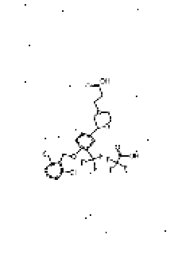 O=C(O)C(F)(F)F.O=C(O)CCN1CCOC(c2ccc(OCc3c(Cl)cccc3Cl)c(C(F)(F)F)c2)C1